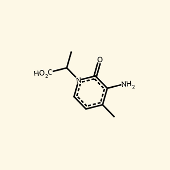 Cc1ccn(C(C)C(=O)O)c(=O)c1N